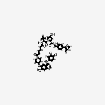 COc1cc2ncnc(Nc3ccc(Cl)c(Cl)c3F)c2cc1OC1CCN(C(=O)CCCCC(=O)N[C@H](C(=O)N2C[C@H](O)C[C@H]2C(=O)NCc2ccc(-c3scnc3C)cc2)C(C)(C)C)CC1